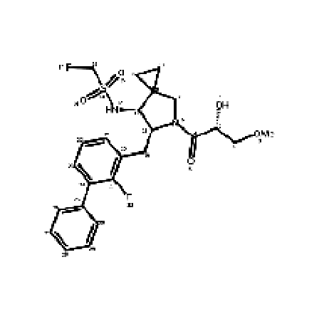 COC[C@@H](O)C(=O)N1CC2(CC2)[C@H](NS(=O)(=O)CF)[C@@H]1Cc1cccc(-c2ccccc2)c1F